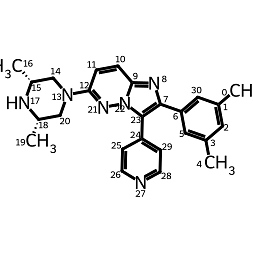 Cc1cc(C)cc(-c2nc3ccc(N4C[C@@H](C)N[C@@H](C)C4)nn3c2-c2ccncc2)c1